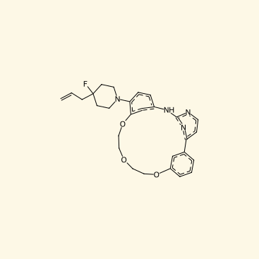 C=CCC1(F)CCN(c2ccc3cc2OCCOCCOc2cccc(c2)-c2ccnc(n2)N3)CC1